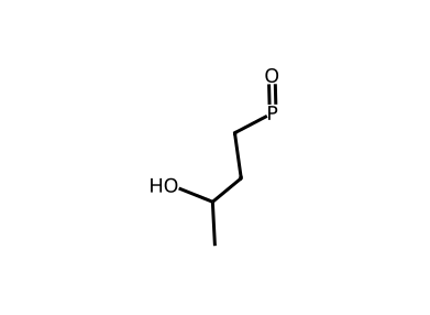 CC(O)CCP=O